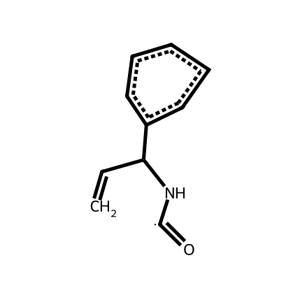 C=CC(N[C]=O)c1ccccc1